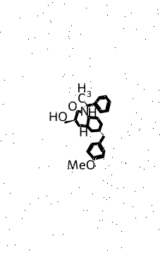 COc1ccc(C[C@H]2CC[C@@H]3[C@H](C2)C[C@@H](CO)C(=O)N3[C@H](C)c2ccccc2)cc1